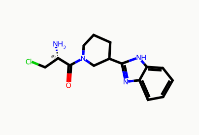 N[C@@H](CCl)C(=O)N1CCCC(c2nc3ccccc3[nH]2)C1